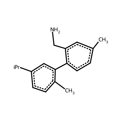 Cc1ccc(-c2cc(C(C)C)ccc2C)c(CN)c1